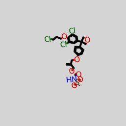 C=C(COC(=O)NS(C)(=O)=O)COc1ccc(C2(c3cc(Cl)c(OCCCCl)c(Cl)c3)COC2)cc1